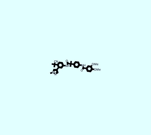 COc1ccc(C(=O)Nc2ccc(C(C)(C)C(=O)Nc3ccc(C(C)(C)C#N)c(-c4cnn(C)c4)c3)cc2)cc1OC